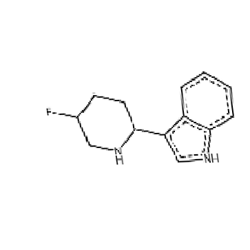 FC1[CH]CC(c2c[nH]c3ccccc23)NC1